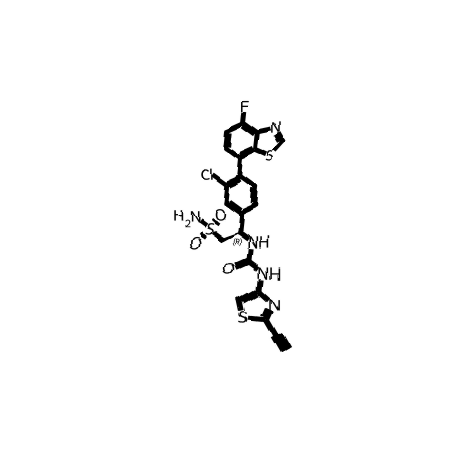 C#Cc1nc(NC(=O)N[C@@H](CS(N)(=O)=O)c2ccc(-c3ccc(F)c4ncsc34)c(Cl)c2)cs1